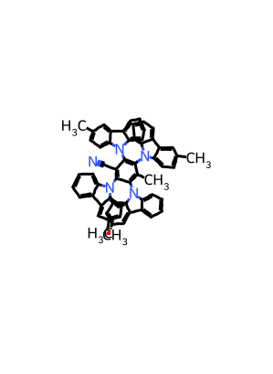 Cc1ccc2c(c1)c1ccccc1n2-c1c(C)c(-n2c3ccccc3c3cc(C)ccc32)c(-n2c3ccccc3c3cc(C)ccc32)c(C#N)c1-n1c2ccccc2c2cc(C)ccc21